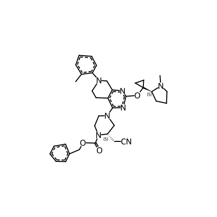 Cc1ccccc1N1CCc2c(nc(OC3([C@@H]4CCCN4C)CC3)nc2N2CCN(C(=O)OCc3ccccc3)[C@@H](CC#N)C2)C1